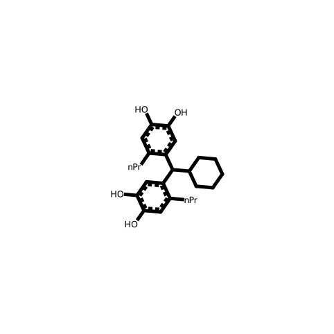 CCCc1cc(O)c(O)cc1C(c1cc(O)c(O)cc1CCC)C1CCCCC1